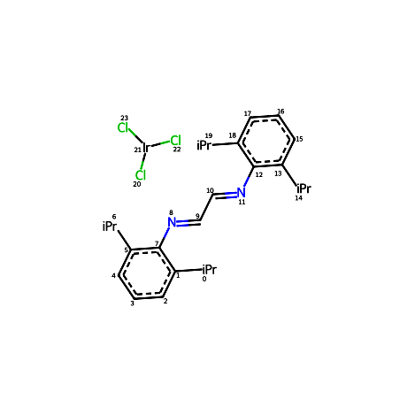 CC(C)c1cccc(C(C)C)c1N=CC=Nc1c(C(C)C)cccc1C(C)C.[Cl][Ir]([Cl])[Cl]